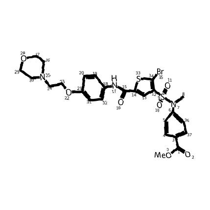 COC(=O)c1ccc(N(C)S(=O)(=O)c2cc(C(=O)Nc3ccc(OCCN4CCOCC4)cc3)sc2Br)cc1